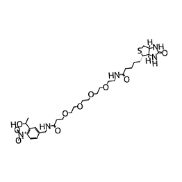 CC(O)c1cc(CNC(=O)CCOCCOCCOCCOCCNC(=O)CCCC[C@@H]2SC[C@@H]3NC(=O)N[C@@H]32)ccc1[N+](=O)[O-]